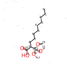 CCCCCCCCCC(C(=O)O)[Si](OC)(OC)OC